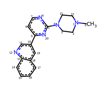 CN1CCN(c2nccc(-c3cnc4ccccc4c3)n2)CC1